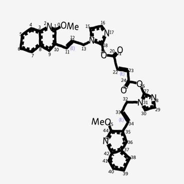 COc1nc2ccccc2cc1/C=C/Cn1ccnc1OC(=O)/C=C/C(=O)Oc1nccn1C/C=C/c1cc2ccccc2nc1OC